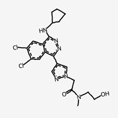 CN(CCO)C(=O)Cn1cc(-c2nnc(NC3CCCC3)c3cc(Cl)c(Cl)cc23)cn1